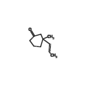 CC=CC1(C)CCCC(=O)C1